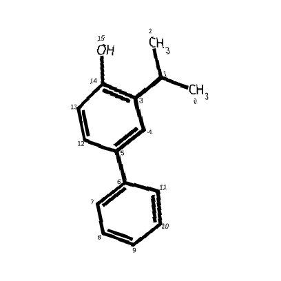 CC(C)c1cc(-c2ccccc2)ccc1O